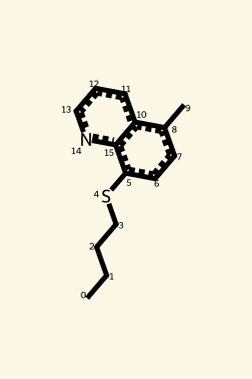 CCCCSc1ccc(C)c2cccnc12